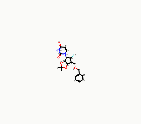 CC1(C)OC2C(COCc3ccccc3)C(F)C(n3ccc(=O)[nH]c3=O)C2O1